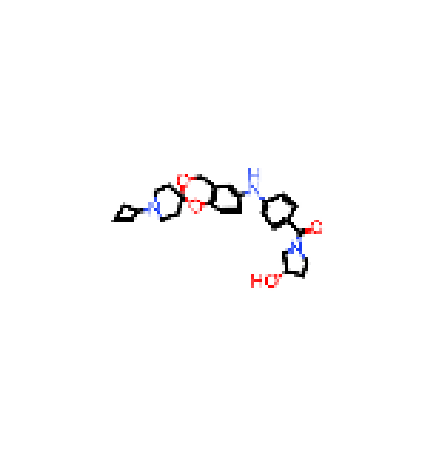 O=C(c1ccc(Nc2ccc3c(c2)COC2(CCN(C4CCC4)CC2)O3)cc1)N1CC[C@@H](O)C1